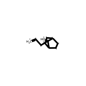 C=CCC1(O)C2CCC1CC2